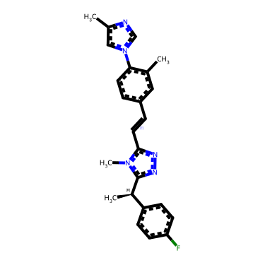 Cc1cn(-c2ccc(/C=C/c3nnc([C@H](C)c4ccc(F)cc4)n3C)cc2C)cn1